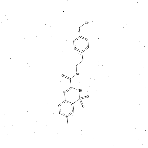 O=C(NCCc1ccc(CO)cc1)C1=Nc2ccc(I)cc2S(=O)(=O)N1